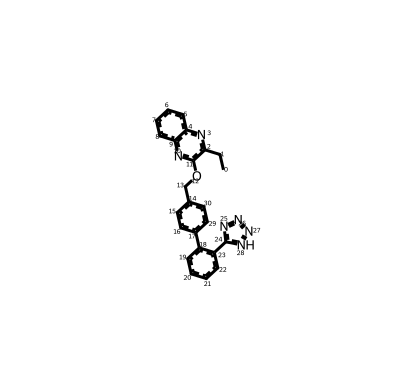 CCc1nc2ccccc2nc1OCc1ccc(-c2ccccc2-c2nnn[nH]2)cc1